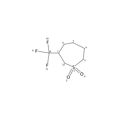 O=S1(=O)CCCCC(C(F)(F)F)C1